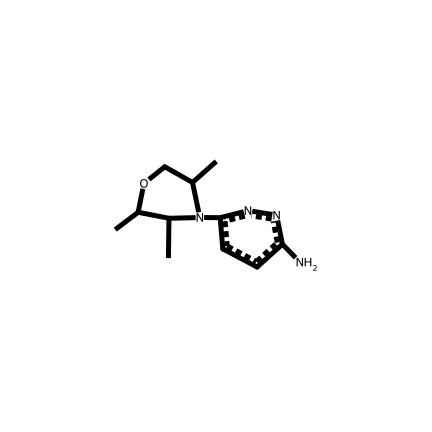 CC1OCC(C)N(c2ccc(N)nn2)C1C